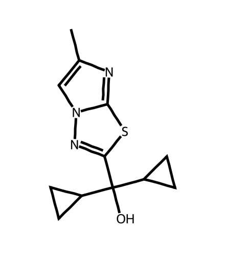 Cc1cn2nc(C(O)(C3CC3)C3CC3)sc2n1